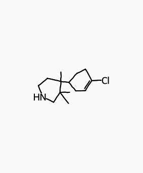 CC1(C)CNCCC1(C)C1CC=C(Cl)CC1